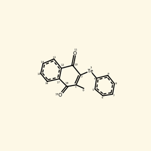 CC1=C([Te]c2ccccc2)C(=O)c2ccccc2C1=O